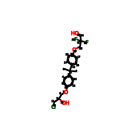 CC(C)(c1ccc(OC[C@@H](O)CCl)cc1)c1ccc(OCC(F)(F)CO)cc1